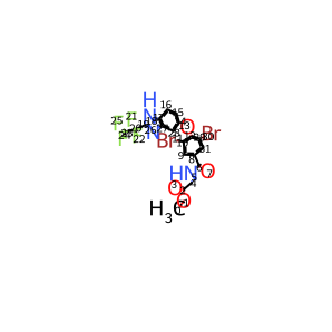 COC(=O)CNC(=O)c1cc(Br)c(Oc2ccc3[nH]c(C(F)(F)C(F)F)nc3c2)c(Br)c1